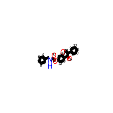 O=C(NCc1ccccc1)Oc1ccc2c(=O)c(-c3ccccc3)coc2c1